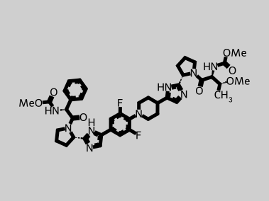 COC(=O)N[C@H](C(=O)N1CCC[C@H]1c1ncc(C2CCN(c3c(F)cc(-c4cnc([C@@H]5CCCN5C(=O)[C@H](NC(=O)OC)c5ccccc5)[nH]4)cc3F)CC2)[nH]1)[C@@H](C)OC